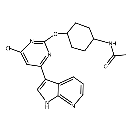 CC(=O)NC1CCC(Oc2nc(Cl)cc(-c3c[nH]c4ncccc34)n2)CC1